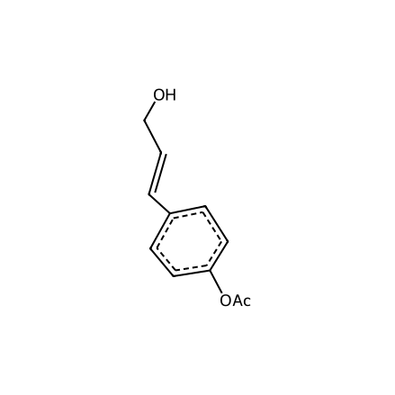 CC(=O)Oc1ccc(C=CCO)cc1